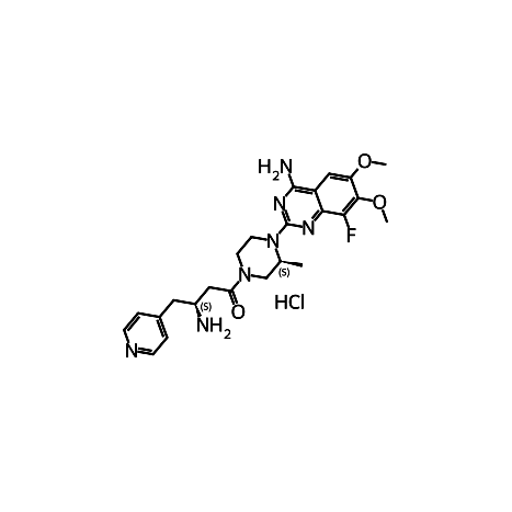 COc1cc2c(N)nc(N3CCN(C(=O)C[C@@H](N)Cc4ccncc4)C[C@@H]3C)nc2c(F)c1OC.Cl